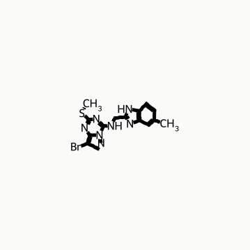 CSc1nc(NCc2nc3cc(C)ccc3[nH]2)n2ncc(Br)c2n1